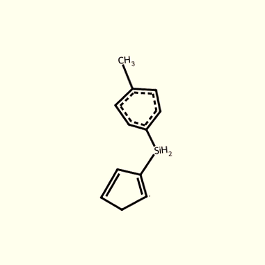 Cc1ccc([SiH2]C2=[C]CC=C2)cc1